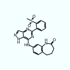 CS(=O)(=O)c1ccccc1-c1nc(Nc2ccc3c(c2)NC(=O)CCC3)c2[nH]ncc2n1